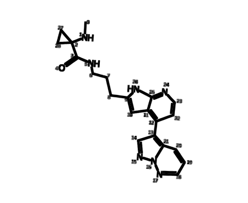 CNC1(C(=O)NCCCc2cc3c(-c4cnn5ncccc45)ccnc3[nH]2)CC1